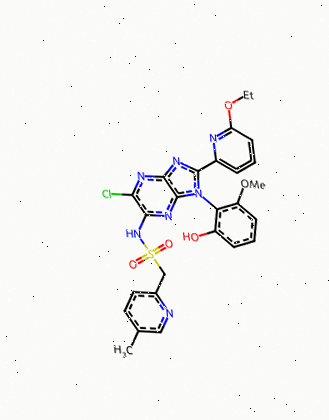 CCOC1=NC(c2nc3nc(Cl)c(NS(=O)(=O)Cc4ccc(C)cn4)nc3n2-c2c(O)cccc2OC)=C=C=C1